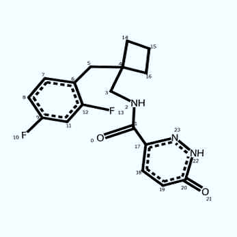 O=C(NCC1(Cc2ccc(F)cc2F)CCC1)c1ccc(=O)[nH]n1